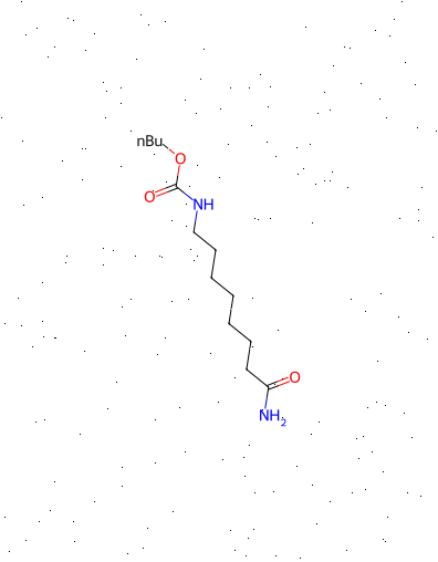 CCCCOC(=O)NCCCCCCCC(N)=O